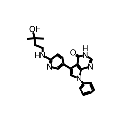 CC(C)(O)CCNc1ccc(-c2cn(-c3ccccc3)c3nc[nH]c(=O)c23)cn1